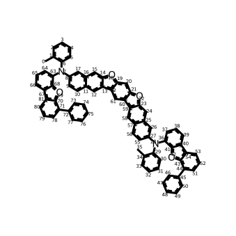 Cc1ccccc1N(c1ccc2cc3c(cc2c1)oc1cc2oc4cc5cc(N(c6ccccc6C)c6cccc7c6oc6c(-c8ccccc8)cccc67)ccc5cc4c2cc13)c1cccc2c1oc1c(-c3ccccc3)cccc12